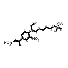 C/C(=C\C(=O)O)c1ccc(N(CCCCCO[Si](C)(C)C(C)(C)C)CC(C)C)c([N+](=O)[O-])c1